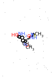 CON=C1C[C@@H](CCC(=O)Nc2ncc(C)s2)C2C3CCc4c(ccc(O)c4N)C3CC[C@]12C